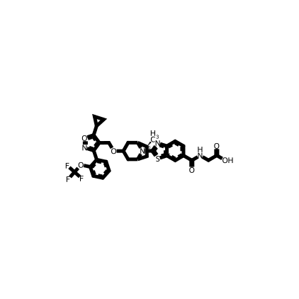 C[C@@H]1CC2CC(OCc3c(-c4ccccc4OC(F)(F)F)noc3C3CC3)CC1N2c1nc2ccc(C(=O)NCC(=O)O)cc2s1